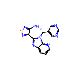 Nc1nonc1-c1nc2cccnc2n1Cc1cncnc1